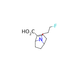 O=C(O)C1=CCC2CCC1N2CCCF